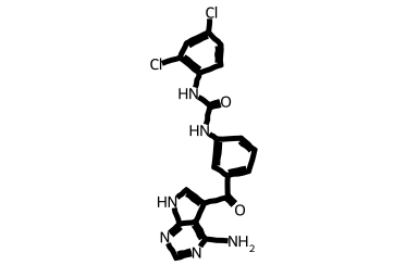 Nc1ncnc2[nH]cc(C(=O)c3cccc(NC(=O)Nc4ccc(Cl)cc4Cl)c3)c12